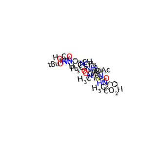 CC[C@H](C)[C@H](NC(=O)C(C)(C)[N+](C)(C)Cc1ccc(NC(=O)[C@H](C)NC(=O)OC(C)(C)C)cc1)C(=O)N(C)[C@H](C[C@@H](OC(C)=O)c1nc(C(=O)N[C@@H](Cc2ccccc2)C[C@H](C)C(=O)O)cs1)C(C)C